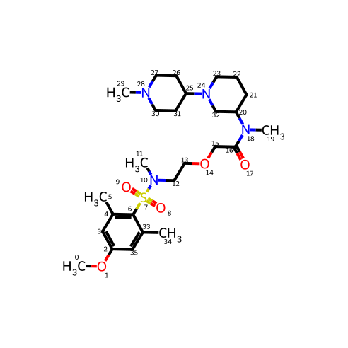 COc1cc(C)c(S(=O)(=O)N(C)CCOCC(=O)N(C)C2CCCN(C3CCN(C)CC3)C2)c(C)c1